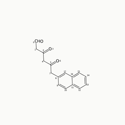 O=CCC(=O)CC(=O)Cc1ccc2ccccc2c1